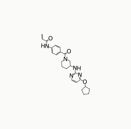 C=CC(=O)Nc1ccc(C(=O)N2CCCC(Nc3nccc(OC4CCCC4)n3)C2)cc1